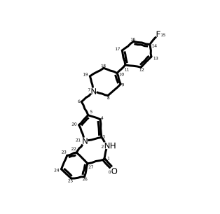 O=c1[nH]c2cc(CN3CC=C(c4ccc(F)cc4)CC3)cn2c2ccccc12